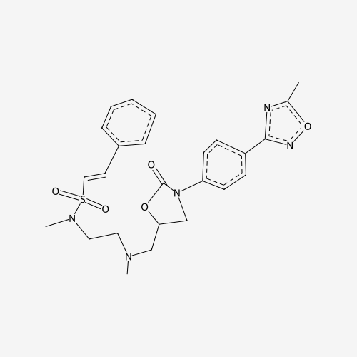 Cc1nc(-c2ccc(N3CC(CN(C)CCN(C)S(=O)(=O)C=Cc4ccccc4)OC3=O)cc2)no1